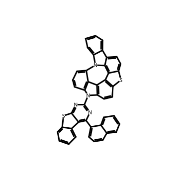 c1ccc2c(-c3nc(-n4c5ccc6sc7ccc8c9ccccc9n9c%10cccc4c%10c5c6c7c89)nc4sc5ccccc5c34)cccc2c1